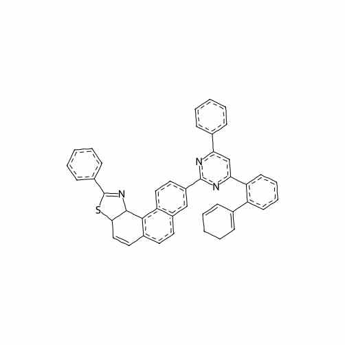 C1=CC(c2ccccc2-c2cc(-c3ccccc3)nc(-c3ccc4c5c(ccc4c3)C=CC3SC(c4ccccc4)=NC53)n2)=CCC1